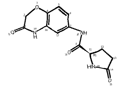 O=C1COc2ccc(NC(=O)[C@H]3CCC(=O)N3)cc2N1